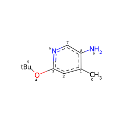 Cc1cc(OC(C)(C)C)ncc1N